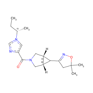 CC[C@H](C)n1cnc(C(=O)N2C[C@@H]3C(C4=NOC(C)(C)C4)[C@@H]3C2)c1